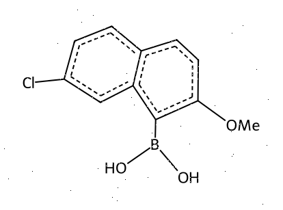 COc1ccc2ccc(Cl)cc2c1B(O)O